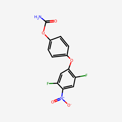 NC(=O)Oc1ccc(Oc2cc(F)c([N+](=O)[O-])cc2F)cc1